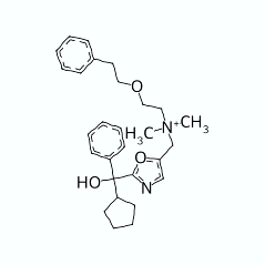 C[N+](C)(CCOCCc1ccccc1)Cc1cnc(C(O)(c2ccccc2)C2CCCC2)o1